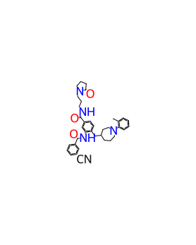 Cc1ccccc1N1CCCC(Cc2ccc(C(=O)NCCCN3CCCC3=O)cc2NC(=O)c2cccc(C#N)c2)CC1